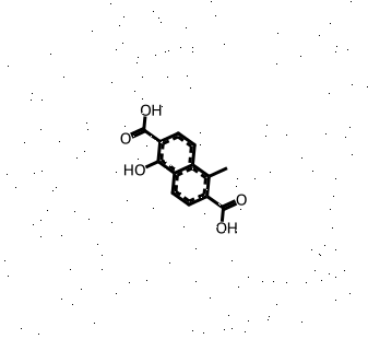 Cc1c(C(=O)O)ccc2c(O)c(C(=O)O)ccc12